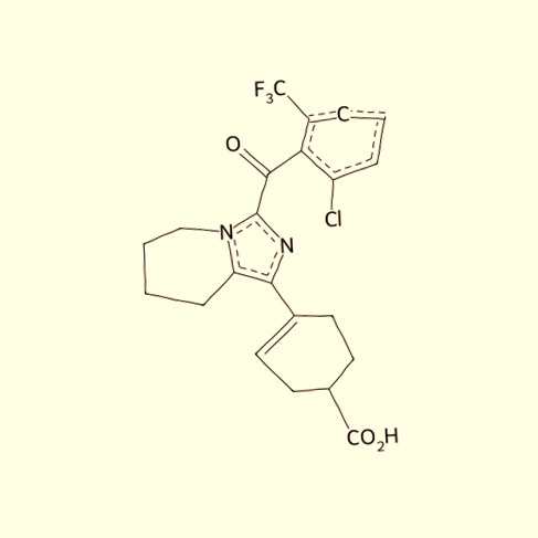 O=C(c1c(Cl)cccc1C(F)(F)F)c1nc(C2=CCC(C(=O)O)CC2)c2n1CCCC2